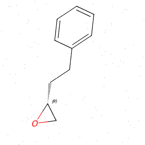 c1ccc(CC[C@@H]2CO2)cc1